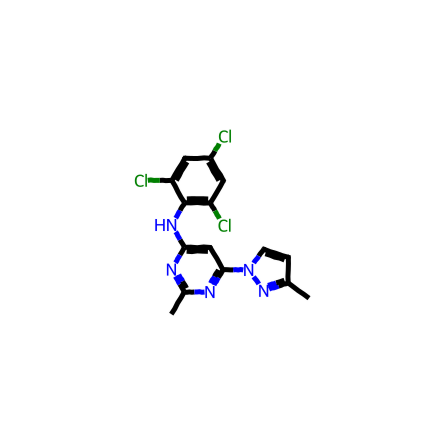 Cc1ccn(-c2cc(Nc3c(Cl)cc(Cl)cc3Cl)nc(C)n2)n1